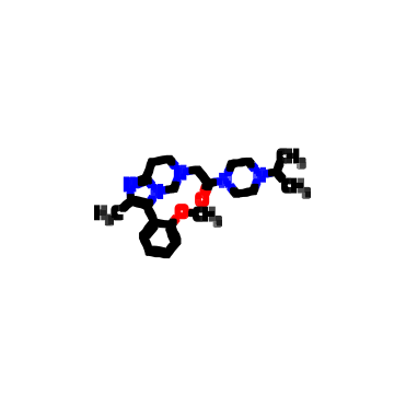 COc1ccccc1-c1c(C)nc2n1CN(CC(=O)N1CCN(C(C)C)CC1)CC2